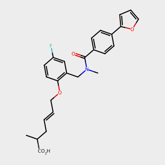 CC(CC=CCOc1ccc(F)cc1CN(C)C(=O)c1ccc(-c2ccco2)cc1)C(=O)O